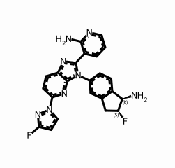 Nc1ncccc1-c1nc2ccc(-n3ccc(F)n3)nc2n1-c1ccc2c(c1)C[C@H](F)[C@@H]2N